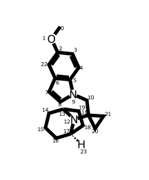 COc1ccc2c(ccn2CC2(N3C4CCC[C@@H]3CC4)CC2)c1